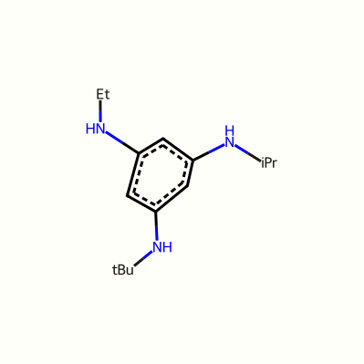 CCNc1cc(NC(C)C)cc(NC(C)(C)C)c1